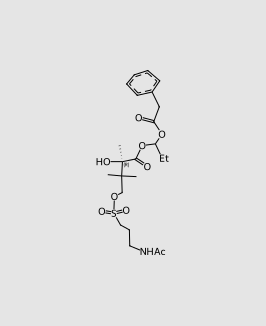 CCC(OC(=O)Cc1ccccc1)OC(=O)[C@](C)(O)C(C)(C)COS(=O)(=O)CCCNC(C)=O